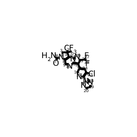 CC1(C(F)(F)F)CN(C(N)=O)c2cnc3c(-c4cnc(-n5nccn5)c(Cl)c4)c(C(F)F)nn3c21